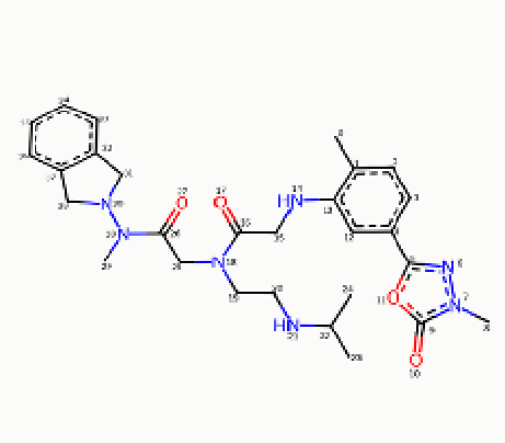 Cc1ccc(-c2nn(C)c(=O)o2)cc1NCC(=O)N(CCNC(C)C)CC(=O)N(C)N1Cc2ccccc2C1